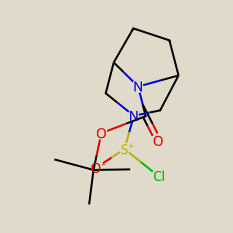 CC(C)(C)OC(=O)N1C2CCC1CN([S+]([O-])Cl)C2